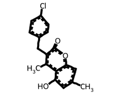 Cc1cc(O)c2c(C)c(Cc3ccc(Cl)cc3)c(=O)oc2c1